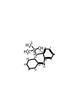 C[Si](C)(C)Sc1ccccc1N=C1CCCCC1